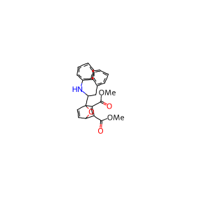 COC(=O)C1=C(C(=O)OC)C2(C(Cc3ccccc3C)Nc3ccccc3)C=CC1O2